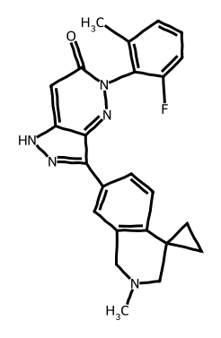 Cc1cccc(F)c1-n1nc2c(-c3ccc4c(c3)CN(C)CC43CC3)n[nH]c2cc1=O